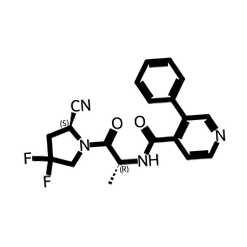 C[C@@H](NC(=O)c1ccncc1-c1ccccc1)C(=O)N1CC(F)(F)C[C@H]1C#N